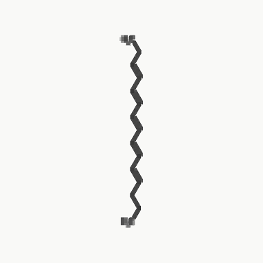 [CH2]CC=CC=CC=CC=CC=CCCC